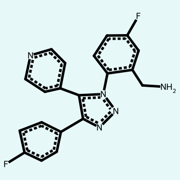 NCc1cc(F)ccc1-n1nnc(-c2ccc(F)cc2)c1-c1ccncc1